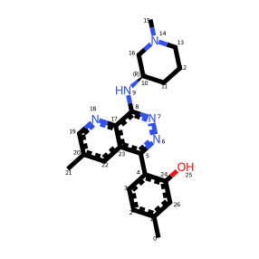 Cc1ccc(-c2nnc(N[C@@H]3CCCN(C)C3)c3ncc(C)cc23)c(O)c1